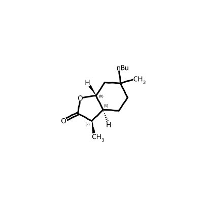 CCCCC1(C)CC[C@@H]2[C@@H](C1)OC(=O)[C@@H]2C